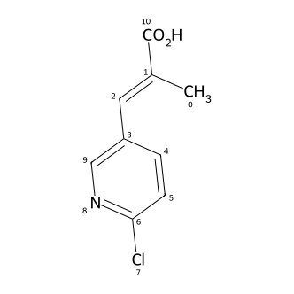 C/C(=C\c1ccc(Cl)nc1)C(=O)O